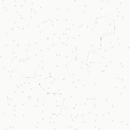 C[N+]1(CCc2ccccn2)CCC(OC(=O)C(O)(c2ccccc2)C2CCCCC2)CC1